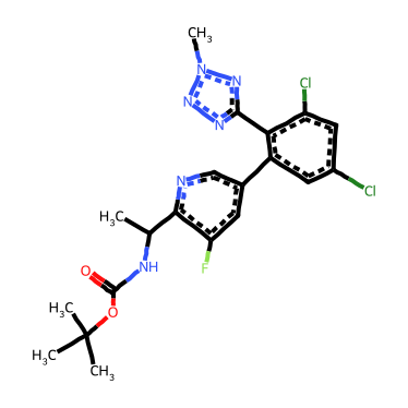 CC(NC(=O)OC(C)(C)C)c1ncc(-c2cc(Cl)cc(Cl)c2-c2nnn(C)n2)cc1F